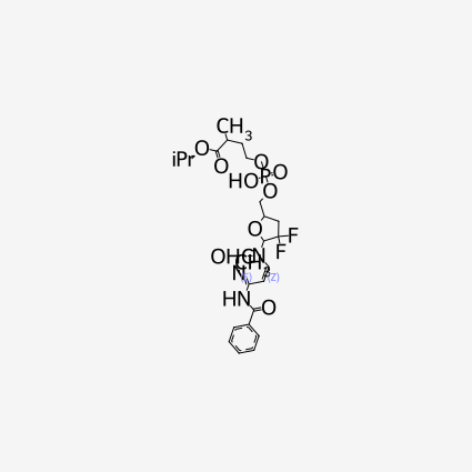 C/N=C(\C=C/N(C=O)C1OC(COP(=O)(O)OCCC(C)C(=O)OC(C)C)CC1(F)F)NC(=O)c1ccccc1